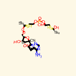 CC(C)(C)C(O)=[SH]CCOP(=O)(O)OCC[SH]=C(OOC[C@H]1O[C@@](C#N)(c2ccc3c(N)ncnn23)[C@H](O)[C@@H]1O)C(C)(C)C